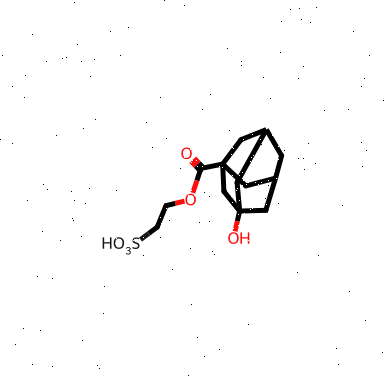 O=C(OCCS(=O)(=O)O)C12CC3CC(CC(O)(C3)C1)C2